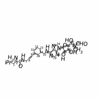 CC(C)C[C@H](N)C(=O)NCC#Cc1cccc(CNc2ncnc3c2ncn3[C@@H]2O[C@H](C(O)N(C)C=O)[C@@H](O)[C@H]2O)c1